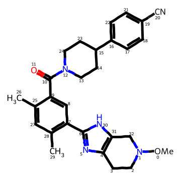 CON1CCc2nc(-c3cc(C(=O)N4CCC(c5ccc(C#N)cc5)CC4)c(C)cc3C)[nH]c2C1